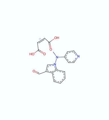 CN(c1ccncc1)n1cc(C=O)c2ccccc21.O=C(O)/C=C\C(=O)O